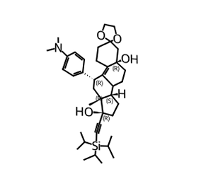 CC(C)[Si](C#C[C@@]1(O)CC[C@H]2C3CC[C@@]4(O)CC5(CCC4=C3[C@@H](c3ccc(N(C)C)cc3)C[C@]21C)OCCO5)(C(C)C)C(C)C